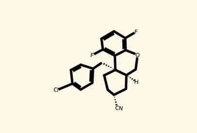 N#C[C@@H]1CC[C@@]2(Cc3ccc(Cl)cc3)c3c(F)ccc(F)c3OC[C@H]2C1